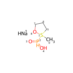 CS1([PH](=O)O)CCCO1.[NaH]